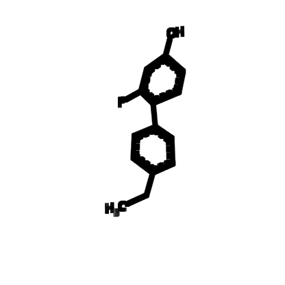 CCc1ccc(-c2ccc(O)cc2F)cc1